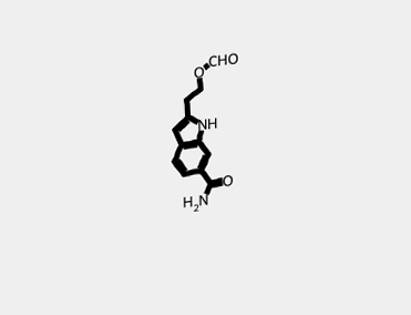 NC(=O)c1ccc2cc(CCOC=O)[nH]c2c1